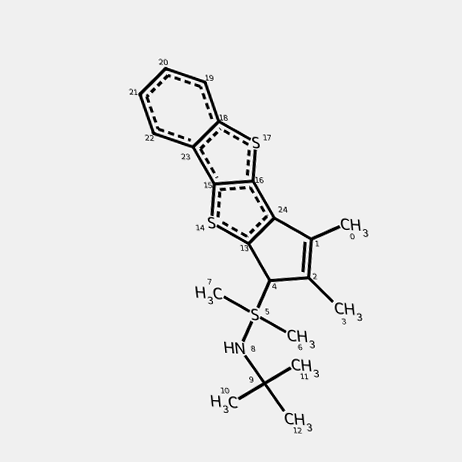 CC1=C(C)C(S(C)(C)NC(C)(C)C)c2sc3c(sc4ccccc43)c21